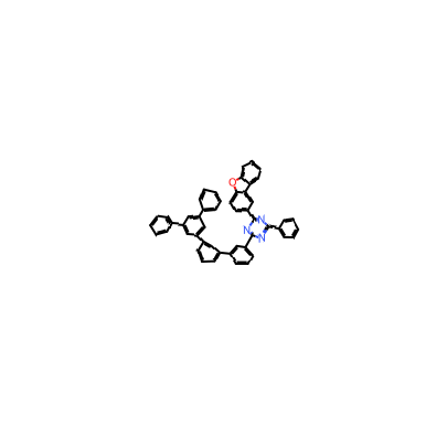 c1ccc(-c2cc(-c3ccccc3)cc(-c3cccc(-c4cccc(-c5nc(-c6ccccc6)nc(-c6ccc7oc8ccccc8c7c6)n5)c4)c3)c2)cc1